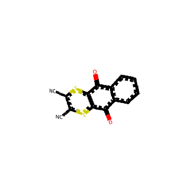 N#Cc1sc2c(=O)c3ccccc3c(=O)c=2sc1C#N